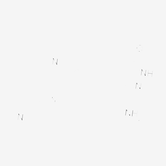 NCc1n[nH]c(=O)c2ccc(-c3cncc(Sc4cccnc4)c3)cc12